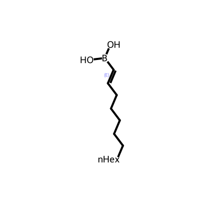 CCCCCCCCCCC/C=C/B(O)O